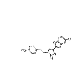 Oc1ccc(C=Cc2cc(-c3cc4cc(Cl)ccc4o3)n[nH]2)cc1